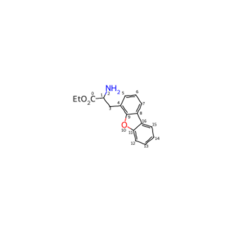 CCOC(=O)C(N)Cc1cccc2c1oc1ccccc12